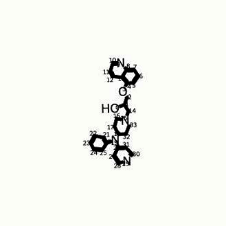 OC(COc1cccc2ncccc12)CN1CCC(N(c2ccccc2)c2ccncc2)CC1